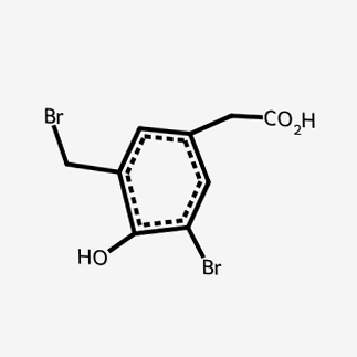 O=C(O)Cc1cc(Br)c(O)c(CBr)c1